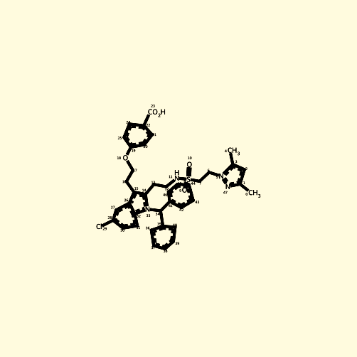 Cc1cc(C)n(CCS(=O)(=O)NCCc2c(CCOc3ccc(C(=O)O)cc3)c3cc(Cl)ccc3n2C(c2ccccc2)c2ccccc2)n1